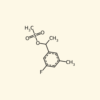 Cc1cc(F)cc(C(C)OS(C)(=O)=O)c1